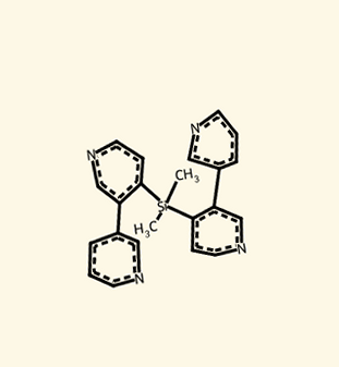 C[Si](C)(c1ccncc1-c1cccnc1)c1ccncc1-c1cccnc1